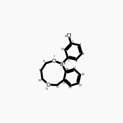 Clc1cccc(B2OCCCOCc3ccccc32)c1